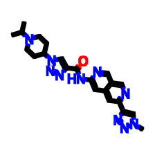 CC(C)N1CCC(n2cc(C(=O)Nc3cc4cc(-c5cn(C)nn5)ncc4cn3)nn2)CC1